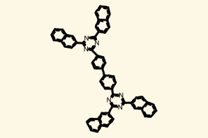 c1ccc2cc(-c3nc(-c4ccc(-c5ccc(-c6nc(-c7ccc8ccccc8c7)nc(-c7ccc8ccccc8c7)n6)cc5)cc4)nc(-c4ccc5ccccc5c4)n3)ccc2c1